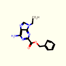 Nc1nc(C(=O)OCc2ccccc2)nc2c1ncn2CC(=O)O